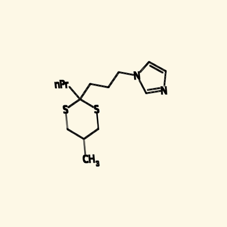 CCCC1(CCCn2ccnc2)SCC(C)CS1